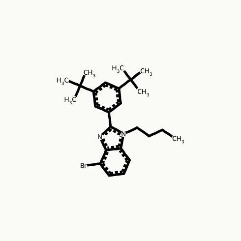 CCCCn1c(-c2cc(C(C)(C)C)cc(C(C)(C)C)c2)nc2c(Br)cccc21